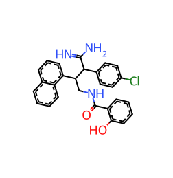 N=C(N)C(c1ccc(Cl)cc1)C(CNC(=O)c1ccccc1O)c1cccc2ccccc12